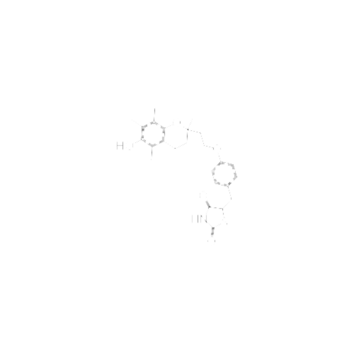 Cc1c(C)c2c(c(C)c1O)CCC(C)(CCOc1ccc(CC3SC(=O)NC3=O)cc1)O2